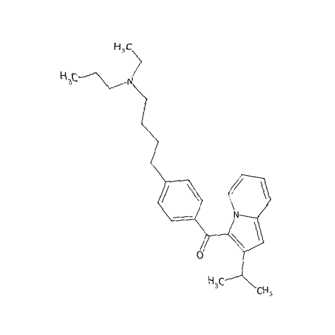 CCCN(CC)CCCCc1ccc(C(=O)c2c(C(C)C)cc3ccccn23)cc1